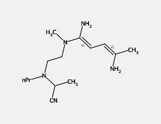 CCCN(CCN(C)/C(N)=C/C=C(/C)N)C(C)C#N